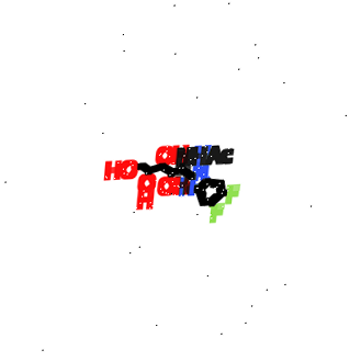 CC(=O)N[C@@H](c1nc2cc(F)c(F)cc2[nH]1)C(O)C(O)C(O)CO